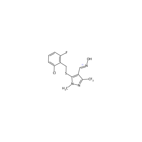 Cn1nc(C(F)(F)F)c(/C=N/O)c1SCc1c(F)cccc1Cl